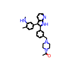 CNc1cc(-c2c(-c3cccc(CN4CCN(C(C)=O)CC4)c3)[nH]c3ncccc23)ccc1C